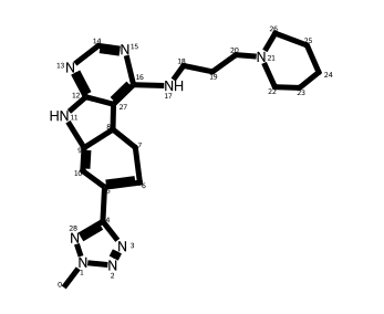 Cn1nnc(C2=CCC3C(=C2)Nc2ncnc(NCCCN4CCCCC4)c23)n1